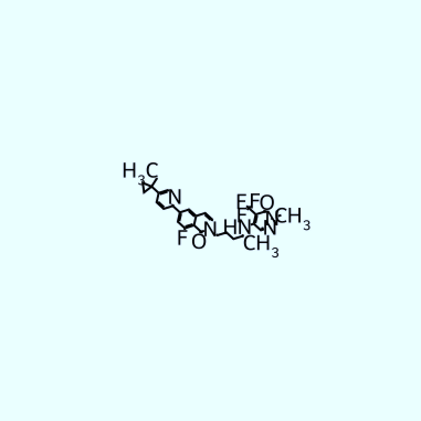 CCC1(c2ccc(-c3cc(F)c4c(=O)n(CCC[C@H](C)Nc5cnn(C)c(=O)c5C(F)(F)F)ccc4c3)nc2)CC1